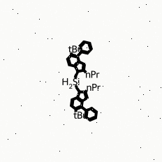 CCCC1=Cc2c(ccc(C(C)(C)C)c2-c2ccccc2)C1C[SiH2]CC1C(CCC)=Cc2c1ccc(C(C)(C)C)c2-c1ccccc1